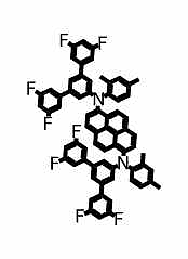 Cc1ccc(N(c2cc(-c3cc(F)cc(F)c3)cc(-c3cc(F)cc(F)c3)c2)c2ccc3ccc4c(N(c5cc(-c6cc(F)cc(F)c6)cc(-c6cc(F)cc(F)c6)c5)c5ccc(C)cc5C)ccc5ccc2c3c54)c(C)c1